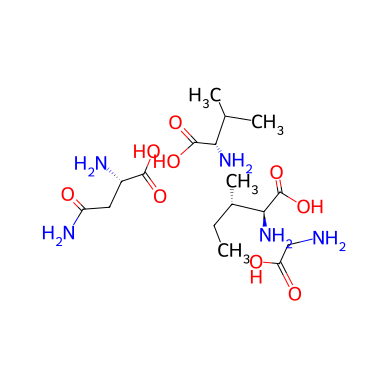 CC(C)[C@H](N)C(=O)O.CC[C@H](C)[C@H](N)C(=O)O.NC(=O)C[C@H](N)C(=O)O.NCC(=O)O